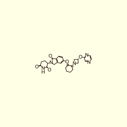 O=C1CCC(N2Cc3cc(O[C@@H]4CCCC[C@H]4N4CC(Oc5cnccn5)C4)ccc3C2=O)C(=O)N1